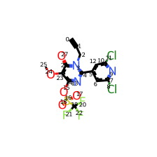 C#CCn1c(-c2cc(Cl)nc(Cl)c2)nc(OS(=O)(=O)C(F)(F)F)c(OC)c1=O